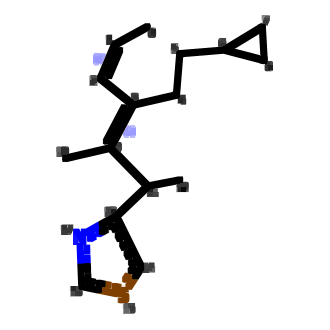 C/C=C\C(CCC1CC1)=C(/C)C(C)c1cscn1